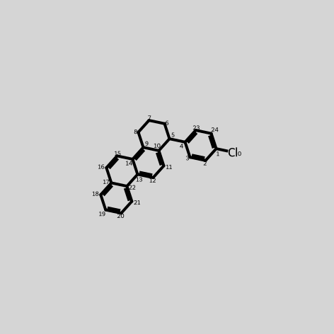 Clc1ccc(C2CCCc3c2ccc2c3ccc3ccccc32)cc1